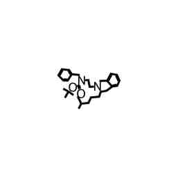 CC(C)CCCC1Cc2ccccc2CN1CCN(Cc1ccccc1)C(=O)OC(C)(C)C